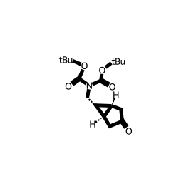 CC(C)(C)OC(=O)N(C[C@H]1[C@@H]2CC(=O)C[C@@H]21)C(=O)OC(C)(C)C